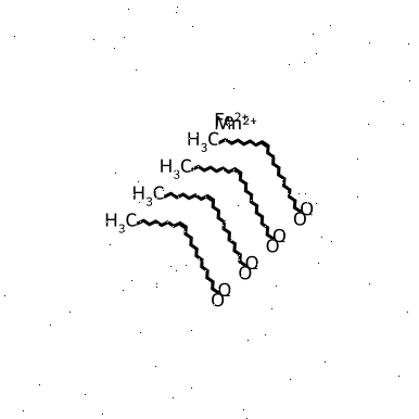 CCCCCCCC/C=C\CCCCCCCCCCCC(=O)[O-].CCCCCCCC/C=C\CCCCCCCCCCCC(=O)[O-].CCCCCCCC/C=C\CCCCCCCCCCCC(=O)[O-].CCCCCCCC/C=C\CCCCCCCCCCCC(=O)[O-].[Fe+2].[Mn+2]